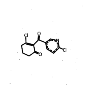 O=C1CCCC(Cl)=C1C(=O)c1ccc(Cl)nc1